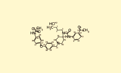 CCCCN(C(=O)Nc1cccc(C(C)=O)c1)C1CCN(Cc2ccc(Oc3ccc(NS(C)(=O)=O)cc3)cc2)CC1.Cl